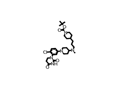 CN(CCCC1CCN(C(=O)OC(C)(C)C)CC1)C1CCN(c2ccc(Cl)c(N3CCC(=O)NC3=O)c2)CC1